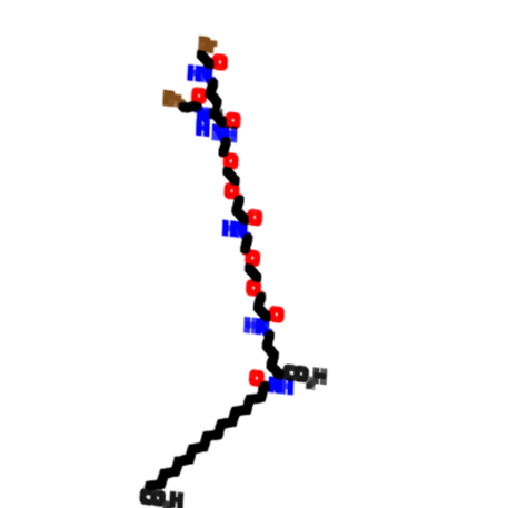 O=C(O)CCCCCCCCCCCCCCCCC(=O)NC(CCCCNC(=O)CCOCCOCCNC(=O)CCOCCOCCNC(=O)[C@H](CCCNC(=O)CBr)NC(=O)CBr)C(=O)O